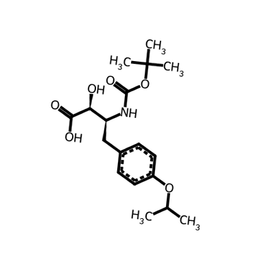 CC(C)Oc1ccc(C[C@H](NC(=O)OC(C)(C)C)[C@H](O)C(=O)O)cc1